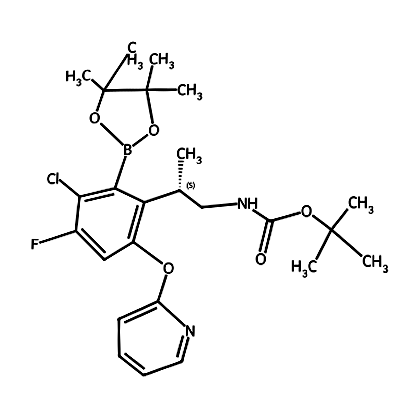 C[C@H](CNC(=O)OC(C)(C)C)c1c(Oc2ccccn2)cc(F)c(Cl)c1B1OC(C)(C)C(C)(C)O1